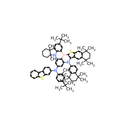 Cc1cc(C(C)(C)C)ccc1N(c1cc2c3c(c1)N1c4c(cc(C(C)(C)C)cc4C4(C)CCCCC14C)B3c1sc3cc4c(cc3c1N2c1ccc2c(c1)C(C)(C)CCC2(C)C)C(C)(C)CCC4(C)C)c1ccc2c(c1)sc1ccccc12